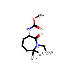 CC(C)(C)OC(=O)N[C@H]1CCCC(C)(C)N(CC(=O)O)C1=O